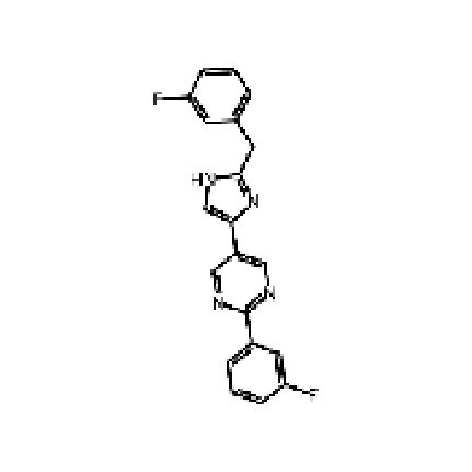 Fc1cccc(Cc2nc(-c3cnc(-c4cccc(F)c4)nc3)c[nH]2)c1